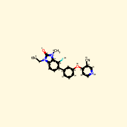 Cn1c(=O)n(CC(C)(C)C)c2ccc(-c3cccc(Oc4ccncc4C#N)c3)c(F)c21